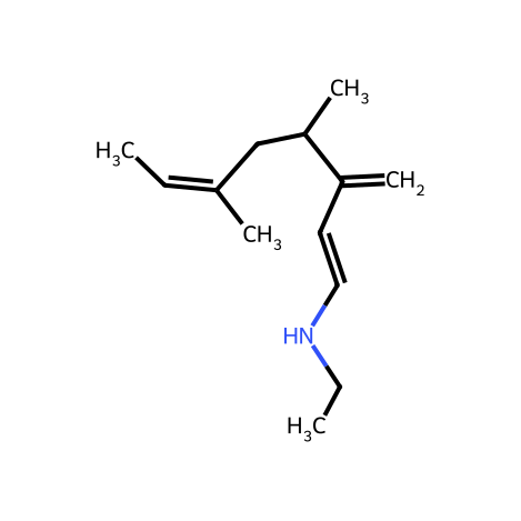 C=C(C=CNCC)C(C)C/C(C)=C\C